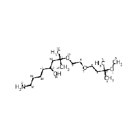 COC(C)(C)CCOCCOC(C)(C)CC(O)CCCCN